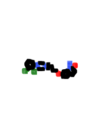 CC(C)(CCCOc1ccc2ccc(=O)[nH]c2c1)N1CCN(c2cccc(Cl)c2Cl)CC1